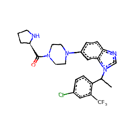 CC(c1ccc(Cl)cc1C(F)(F)F)n1cnc2ccc(N3CCN(C(=O)[C@H]4CCCN4)CC3)cc21